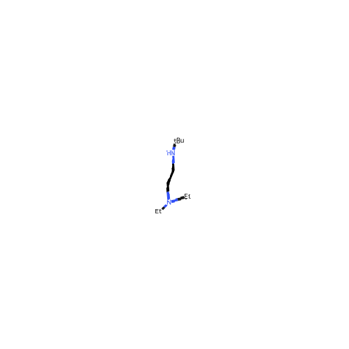 CCN(CC)CCNC(C)(C)C